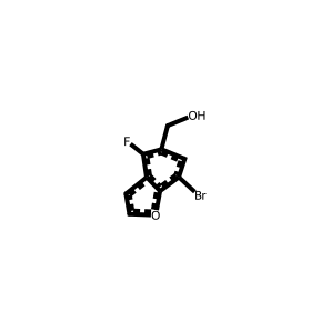 OCc1cc(Br)c2occc2c1F